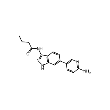 CCCC(=O)Nc1n[nH]c2cc(-c3ccc(N)nc3)ccc12